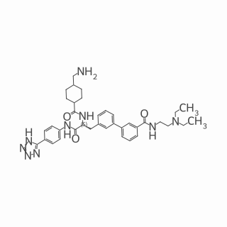 CCN(CC)CCNC(=O)c1cccc(-c2cccc(C[C@H](NC(=O)C3CCC(CN)CC3)C(=O)Nc3ccc(-c4nnn[nH]4)cc3)c2)c1